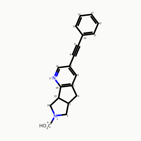 O=C(O)N1CC2Cc3cc(C#Cc4ccccc4)cnc3C2C1